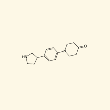 O=C1CCN(c2ccc(C3CCNC3)cc2)CC1